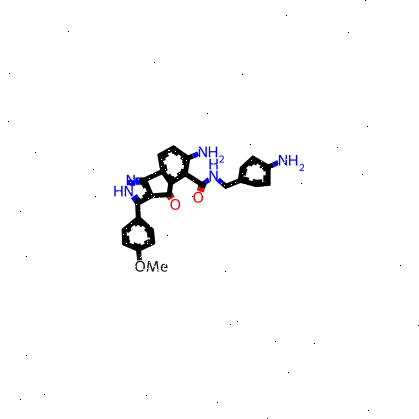 COc1ccc(-c2[nH]nc3c2C(=O)c2c-3ccc(N)c2C(=O)NCc2ccc(N)cc2)cc1